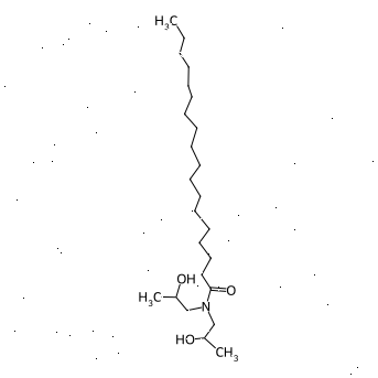 CCCCCCCCCCCCCCCCCC(=O)N(CC(C)O)CC(C)O